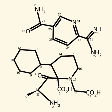 C[C@H](N)C(=O)C1(C(=O)O)C(C2CCCCC2)CCCN1CC(=O)O.N=C(N)c1ccc(C(N)=O)cn1